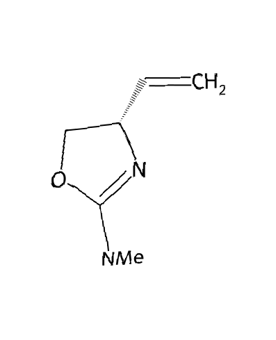 C=C[C@H]1COC(NC)=N1